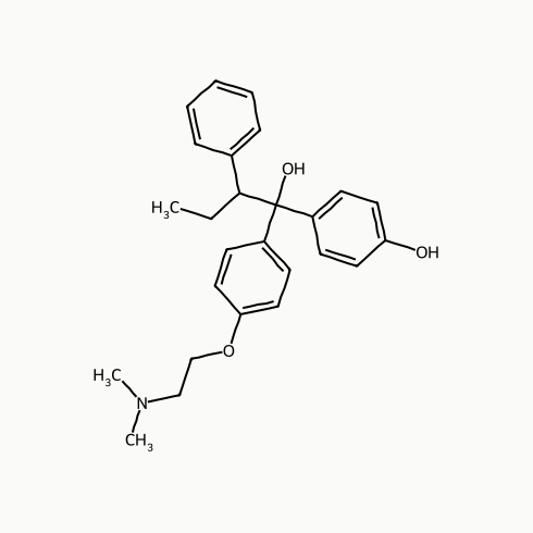 CCC(c1ccccc1)C(O)(c1ccc(O)cc1)c1ccc(OCCN(C)C)cc1